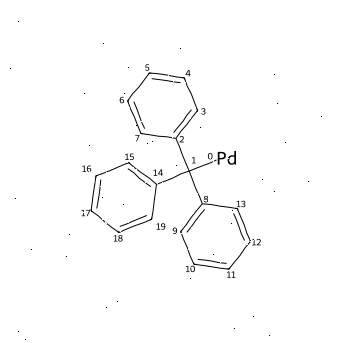 [Pd][C](c1ccccc1)(c1ccccc1)c1ccccc1